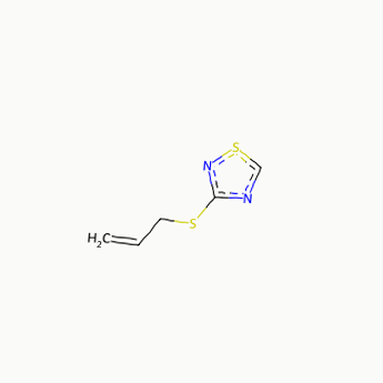 C=CCSc1ncsn1